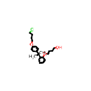 CC(C)(c1ccc(OCCCCCl)cc1)c1ccccc1OCCCCO